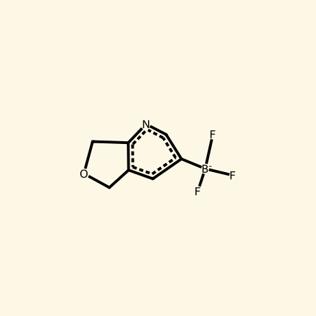 F[B-](F)(F)c1cnc2c(c1)COC2